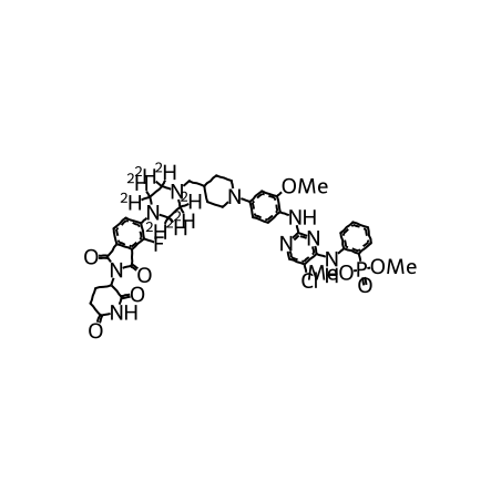 [2H]C1([2H])N(CC2CCN(c3ccc(Nc4ncc(Cl)c(Nc5ccccc5P(=O)(OC)OC)n4)c(OC)c3)CC2)C([2H])([2H])C([2H])([2H])N(c2ccc3c(c2F)C(=O)N(C2CCC(=O)NC2=O)C3=O)C1([2H])[2H]